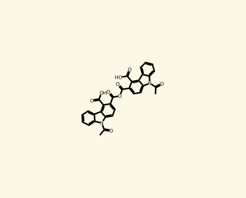 CC(=O)n1c2ccccc2c2c(C(=O)O)c(C(=O)OC(=O)c3ccc4c(c3C(=O)O)c3ccccc3n4C(C)=O)ccc21